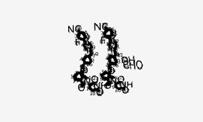 C[C@H](c1ccc(COc2cccc3c2CN([C@H]2CCC(=O)NC2=O)C3=O)cc1)N1CCN(c2ncc(C#N)cc2F)CC1.C[C@H](c1ccc(COc2cccc3c2CN([C@H]2CCC(=O)NC2=O)C3=O)cc1)N1CCN(c2ncc(C#N)cc2F)CC1.O=CO